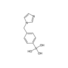 O[Si](O)(O)c1ccc(Cn2ccnc2)cc1